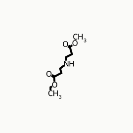 CCOC(=O)CCNCCC(=O)OC